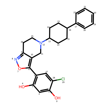 Oc1cc(O)c(-c2onc3c2CN(C2CCC(c4ccccc4)CC2)CC3)cc1Cl